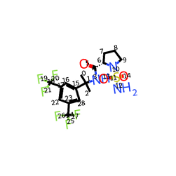 CC(C)(NC(=O)[C@@H]1CCCN1S(N)(=O)=O)c1cc(C(F)(F)F)cc(C(F)(F)F)c1